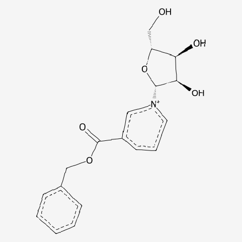 O=C(OCc1ccccc1)c1ccc[n+]([C@@H]2O[C@H](CO)[C@@H](O)[C@H]2O)c1